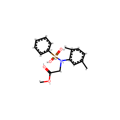 COC(=O)CN(c1cc(C)ccc1C)S(=O)(=O)c1ccccc1